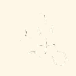 CNC(=O)Oc1cc(C(C)C)ccc1C1(NC(C)=O)C(=O)c2ccccc2C1=O